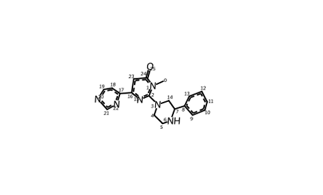 Cn1c(N2CCNC(c3ccccc3)C2)nc(-c2ccncn2)cc1=O